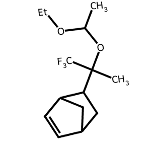 CCOC(C)OC(C)(C1CC2C=CC1C2)C(F)(F)F